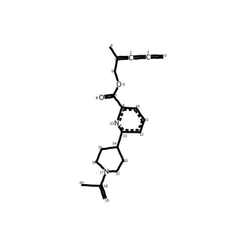 C=C=C=C(C)COC(=O)c1cccc(C2CCN(C(=C)C)CC2)n1